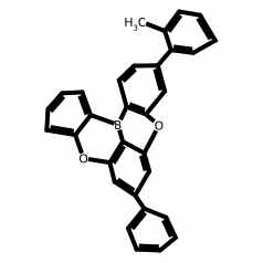 Cc1ccccc1-c1ccc2c(c1)Oc1cc(-c3ccccc3)cc3c1B2c1ccccc1O3